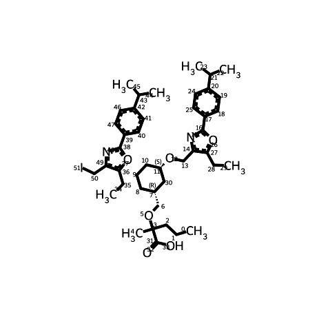 CCCC(C)(OC[C@@H]1CCC[C@H](OCc2nc(-c3ccc(C(C)C)cc3)oc2CC)C1)C(=O)O.CCc1oc(-c2ccc(C(C)C)cc2)nc1CI